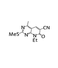 CCn1c(=O)c(C#N)cc2c(C)nc(SC)nc21